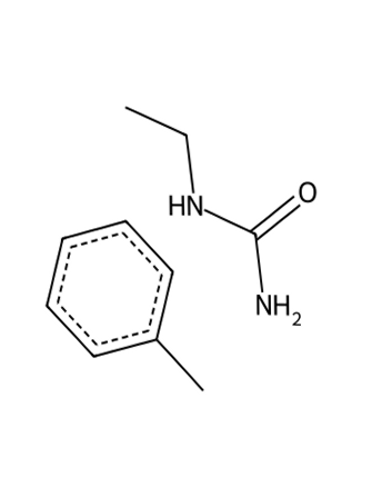 CCNC(N)=O.Cc1ccccc1